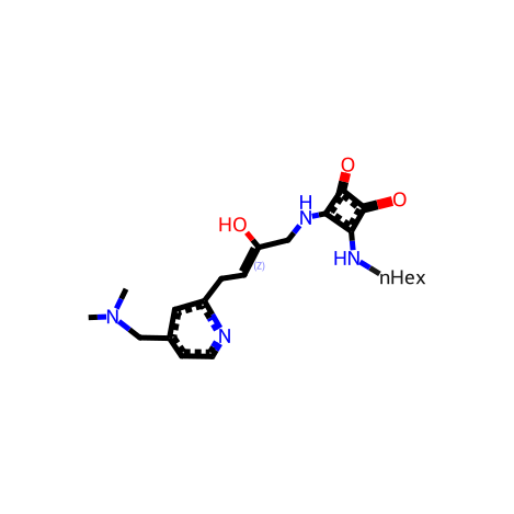 CCCCCCNc1c(NC/C(O)=C/Cc2cc(CN(C)C)ccn2)c(=O)c1=O